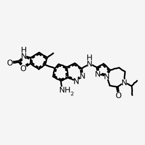 Cc1cc2[nH]c(=O)oc2cc1-c1cc(N)c2nnc(Nc3cc4n(n3)CC(=O)N(C(C)C)CC4)cc2c1